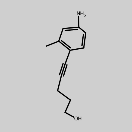 Cc1cc(N)ccc1C#CCCCO